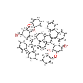 Brc1cc2c3c(c1)-c1cc(-c4ccccc4-c4ccccc4)c4cc5c6c(cc(-c7ccccc7-c7ccccc7)c7cc(c1c4c76)B3c1ccccc1O2)-c1cc(Br)cc2c1B5c1ccccc1O2